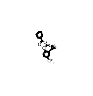 CC(OC(=O)c1ccccc1)Oc1ccc(C(F)(F)F)cc1C1CC1